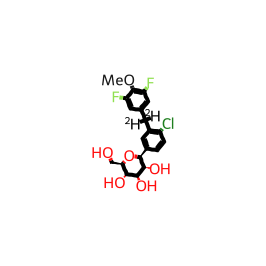 [2H]C([2H])(c1cc(F)c(OC)c(F)c1)c1cc([C@@H]2O[C@H](CO)[C@@H](O)[C@H](O)[C@H]2O)ccc1Cl